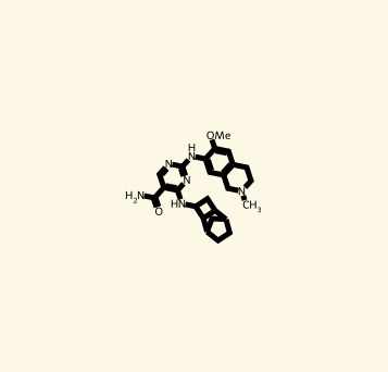 COc1cc2c(cc1Nc1ncc(C(N)=O)c(NC3CC4C5CCC(C5)C34)n1)CN(C)CC2